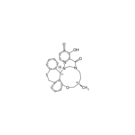 C[C@@H]1CCN2CN([C@@H]3c4ccccc4SCc4cccc(c43)OC1)n1ccc(=O)c(O)c1C2=O